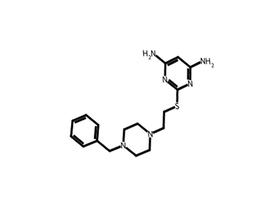 Nc1cc(N)nc(SCCN2CCN(Cc3ccccc3)CC2)n1